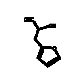 O=CC(O)Cc1ccco1